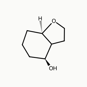 O[C@H]1CCC[C@H]2OCCC12